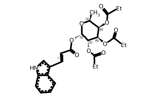 CCC(=O)O[C@H]1[C@H](OC(=O)CC)[C@H](OC(=O)/C=C/c2c[nH]c3ccccc23)O[C@@H](C)[C@H]1OC(=O)CC